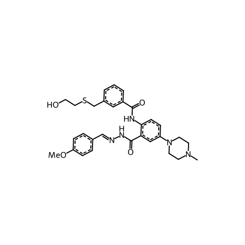 COc1ccc(/C=N/NC(=O)c2cc(N3CCN(C)CC3)ccc2NC(=O)c2cccc(CSCCO)c2)cc1